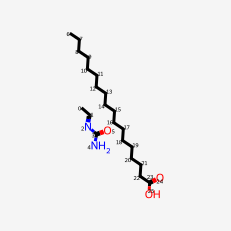 CC=NC(N)=O.CCCCCCCCCCCCCCCCCC(=O)O